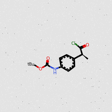 C[C@H](C(=O)Cl)c1ccc(NC(=O)OC(C)(C)C)cc1